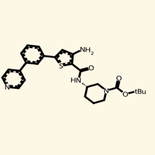 CC(C)(C)OC(=O)N1CCC[C@H](NC(=O)c2sc(-c3cccc(-c4ccncc4)c3)cc2N)C1